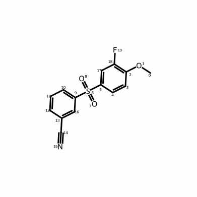 COc1ccc(S(=O)(=O)c2cccc(C#N)c2)cc1F